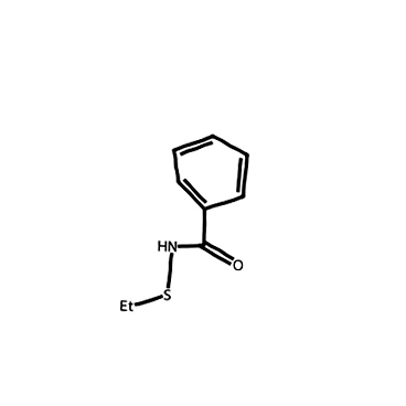 CCSNC(=O)c1ccccc1